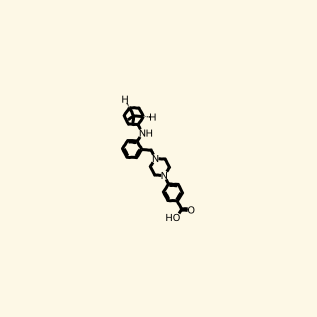 CC1(C)[C@H]2CCC(Nc3ccccc3CN3CCN(c4ccc(C(=O)O)cc4)CC3)[C@@H]1C2